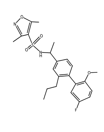 CCCc1cc(C(C)NS(=O)(=O)c2c(C)noc2C)ccc1-c1cc(F)ccc1OC